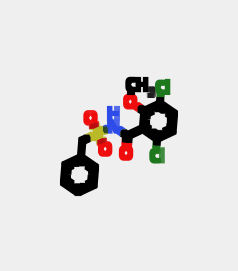 COc1c(Cl)ccc(Cl)c1C(=O)NS(=O)(=O)Cc1ccccc1